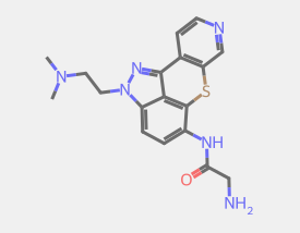 CN(C)CCn1nc2c3c(c(NC(=O)CN)ccc31)Sc1cnccc1-2